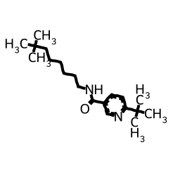 CC(C)(C)CCCCCCNC(=O)c1ccc(C(C)(C)C)nc1